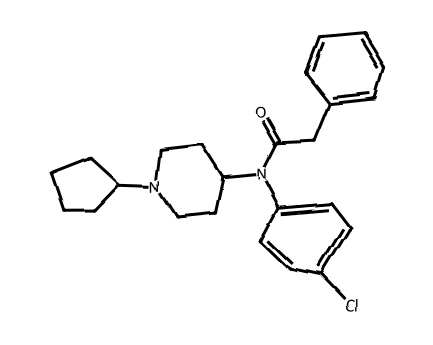 O=C(Cc1ccccc1)N(c1ccc(Cl)cc1)C1CCN(C2CCCC2)CC1